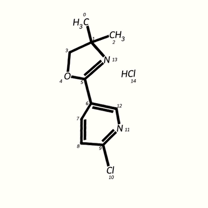 CC1(C)COC(c2ccc(Cl)nc2)=N1.Cl